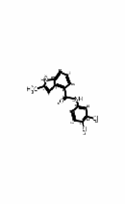 Cc1cc2c(C(=O)Nc3ccc(Cl)c(Cl)c3)cccc2[nH]1